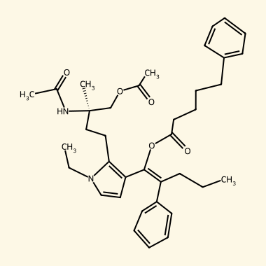 CCCC(=C(OC(=O)CCCCc1ccccc1)c1ccn(CC)c1CC[C@](C)(COC(C)=O)NC(C)=O)c1ccccc1